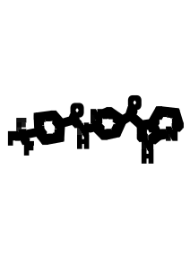 O=C(Nc1ccc(C(=O)c2c[nH]c3ncccc23)cn1)c1ccc(C(F)(F)F)cc1